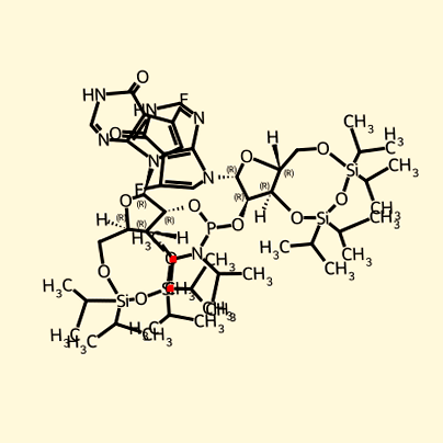 CC(C)N(C(C)C)P(O[C@@H]1[C@@H]2O[Si](C(C)C)(C(C)C)O[Si](C(C)C)(C(C)C)OC[C@H]2O[C@H]1n1cc(F)c2c(=O)[nH]cnc21)O[C@@H]1[C@@H]2O[Si](C(C)C)(C(C)C)O[Si](C(C)C)(C(C)C)OC[C@H]2O[C@H]1n1cc(F)c2c(=O)[nH]cnc21